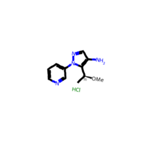 CO[C@@H](C)c1c(N)cnn1-c1cccnc1.Cl